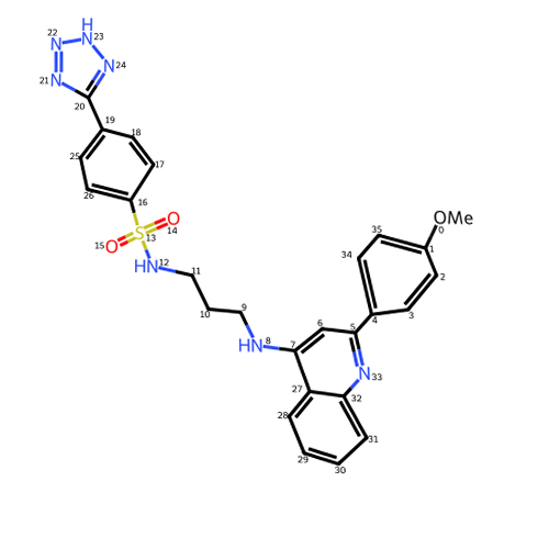 COc1ccc(-c2cc(NCCCNS(=O)(=O)c3ccc(-c4nn[nH]n4)cc3)c3ccccc3n2)cc1